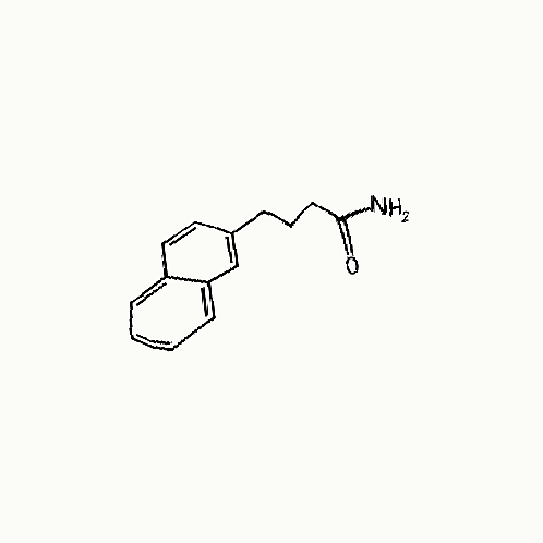 NC(=O)CCCc1ccc2ccccc2c1